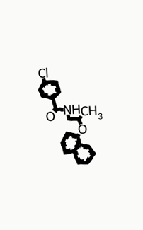 CC(CNC(=O)c1ccc(Cl)cc1)Oc1cccc2ccccc12